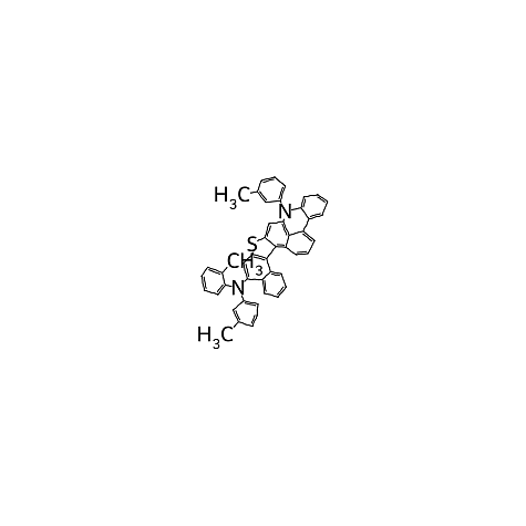 Cc1cccc(N(c2ccccc2C)c2cc3sc4cc5c6c(cccc6c4c3c3ccccc23)-c2ccccc2N5c2cccc(C)c2)c1